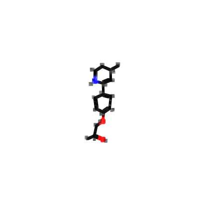 CC(=O)COc1ccc(C2=CC(C)CC=N2)cc1